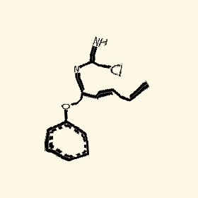 C=C/C=C/C(=N\C(=N)Cl)Oc1ccccc1